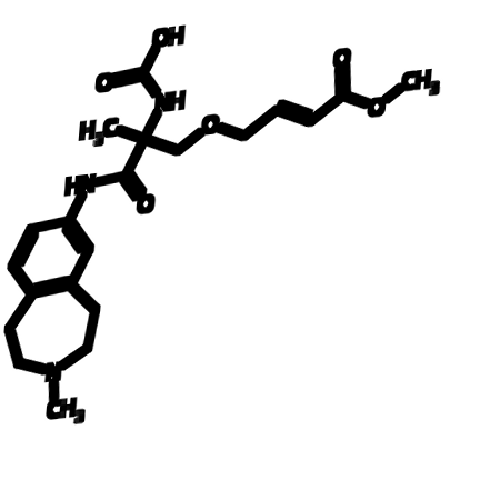 COC(=O)C=CCOCC(C)(NC(=O)O)C(=O)Nc1ccc2c(c1)CCN(C)CC2